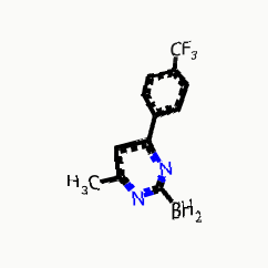 Bc1nc(C)cc(-c2ccc(C(F)(F)F)cc2)n1